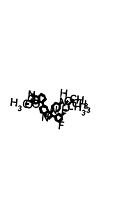 COC(=O)Oc1c(C#N)cccc1-c1ccc2ncc(-c3cc(F)cc(F)c3)c(N3CCC(NC(=O)OC(C)(C)C)CC3)c2c1